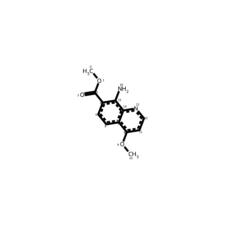 COC(=O)c1ccc2c(OC)ccnc2c1N